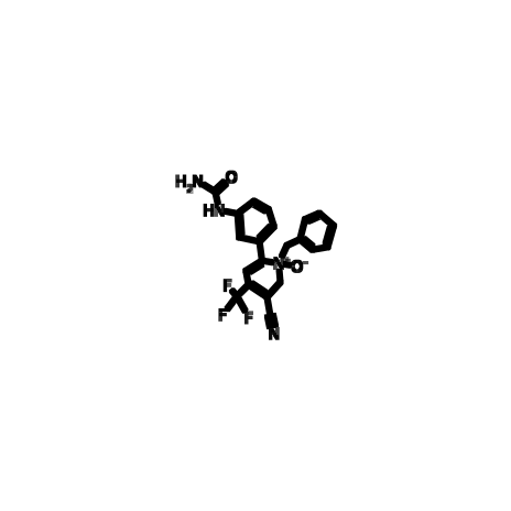 N#CC1=C(C(F)(F)F)C=C(c2cccc(NC(N)=O)c2)[N+]([O-])(Cc2ccccc2)C1